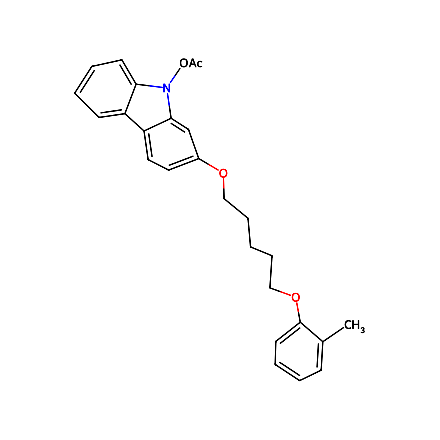 CC(=O)On1c2ccccc2c2ccc(OCCCCCOc3ccccc3C)cc21